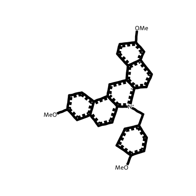 COc1ccc(C[n+]2c3ccc4cc(OC)ccc4c3cc3c4ccc(OC)cc4ccc32)cc1